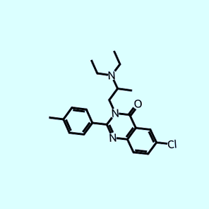 CCN(CC)C(C)Cn1c(-c2ccc(C)cc2)nc2ccc(Cl)cc2c1=O